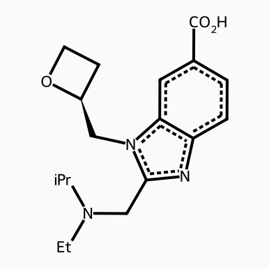 CCN(Cc1nc2ccc(C(=O)O)cc2n1C[C@@H]1CCO1)C(C)C